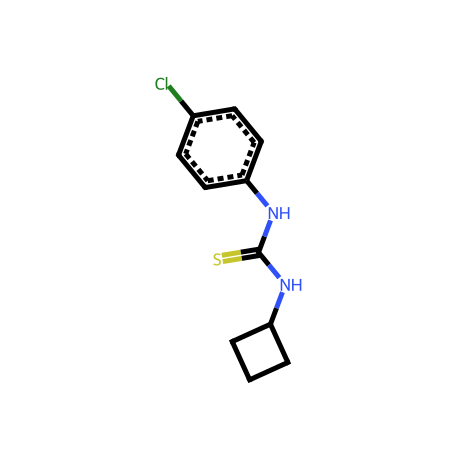 S=C(Nc1ccc(Cl)cc1)NC1CCC1